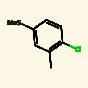 [CH2]Sc1ccc(Cl)c(C)c1